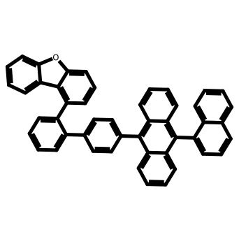 c1ccc(-c2cccc3oc4ccccc4c23)c(-c2ccc(-c3c4ccccc4c(-c4cccc5ccccc45)c4ccccc34)cc2)c1